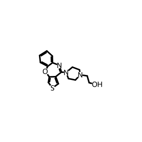 OCCN1CCN(C2=Nc3ccccc3Oc3cscc32)CC1